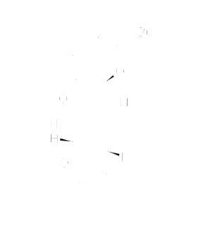 CCC(C)C(=O)O[C@@H]1C(=O)O[C@H]2[C@@H]1C[C@@H]1OC(C)(C)O[C@H]21